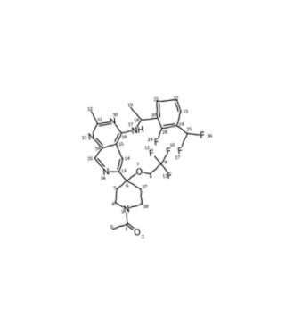 CC(=O)N1CCC(OCC(F)(F)F)(c2cc3c(NC(C)c4cccc(C(F)F)c4F)nc(C)nc3cn2)CC1